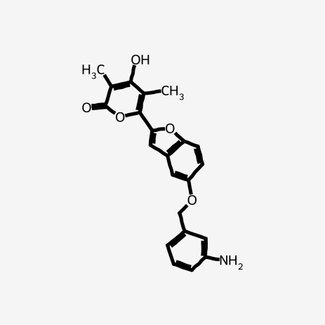 Cc1c(-c2cc3cc(OCc4cccc(N)c4)ccc3o2)oc(=O)c(C)c1O